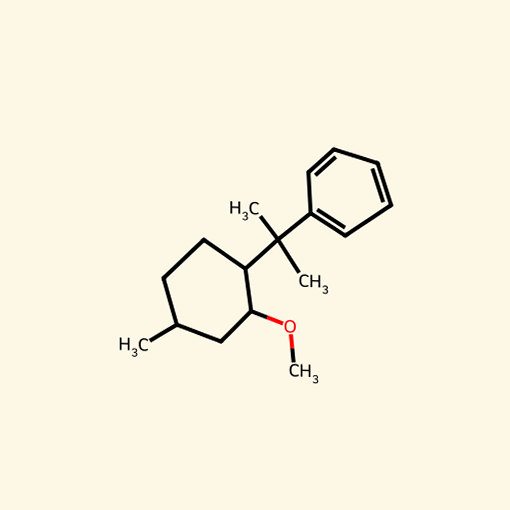 COC1CC(C)CCC1C(C)(C)c1ccccc1